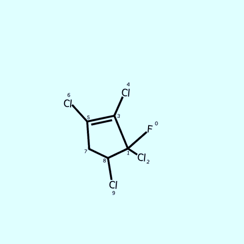 FC1(Cl)C(Cl)=C(Cl)CC1Cl